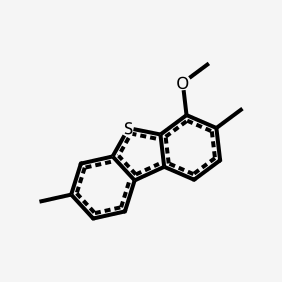 COc1c(C)ccc2c1sc1cc(C)ccc12